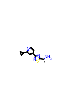 C[C@@H](N)c1nc(-c2ccnc(C3CC3)c2)ns1